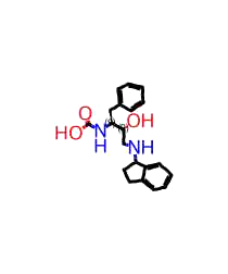 O=C(O)N[C@@H](Cc1ccccc1)[C@H](O)CNC1CCc2ccccc21